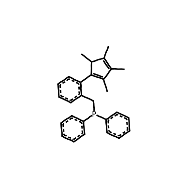 CC1=C(C)C(C)C(c2ccccc2CP(c2ccccc2)c2ccccc2)=C1C